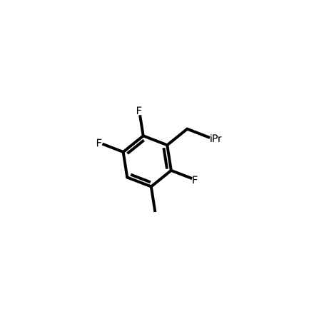 Cc1cc(F)c(F)c(CC(C)C)c1F